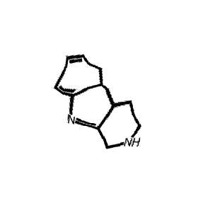 C1=CCC2C(=C1)N=C1CNCCC12